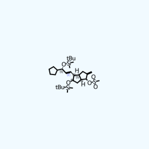 C=C1C[C@@H]2[C@H](/C=C/[C@@H](O[Si](C)(C)C(C)(C)C)C3CCCC3)[C@H](O[Si](C)(C)C(C)(C)C)C[C@@H]2C1OS(C)(=O)=O